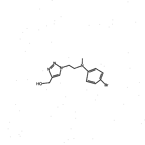 CN(CCn1cc(CO)nn1)c1ccc(Br)cc1